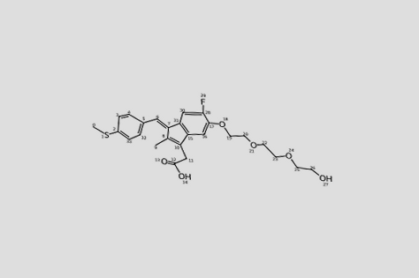 CSc1ccc(/C=C2\C(C)=C(CC(=O)O)c3cc(OCCOCCOCCO)c(F)cc32)cc1